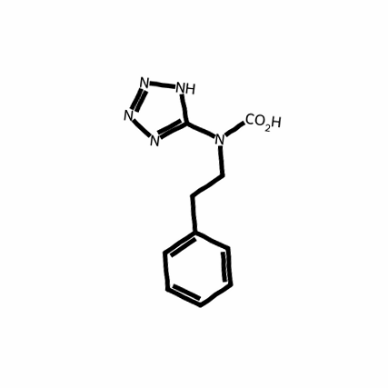 O=C(O)N(CCc1ccccc1)c1nnn[nH]1